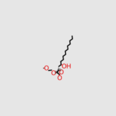 CCCCCCCCCCCC(O)C[C@@H]1OC(=O)[C@H]1OCCOC